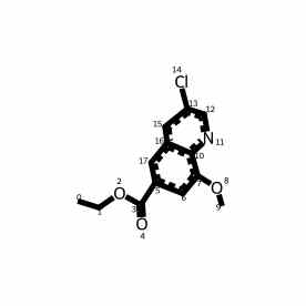 CCOC(=O)c1cc(OC)c2ncc(Cl)cc2c1